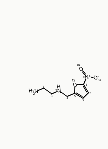 NCCNCc1ccc([N+](=O)[O-])o1